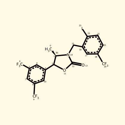 C[C@@H]1C(c2cc(C(F)(F)F)cc(C(F)(F)F)c2)OC(=O)N1Cc1cc(C(F)(F)F)ccc1I